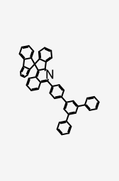 c1ccc(-c2cc(-c3ccccc3)cc(-c3ccc(-c4nc5c(c6ccccc46)C4(c6ccccc6-c6ccccc64)c4ccccc4-5)cc3)c2)cc1